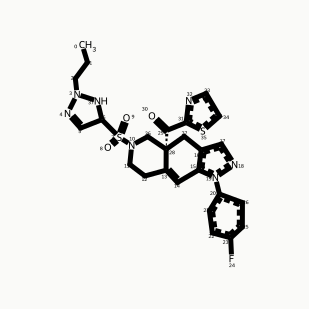 CCCN1N=CC(S(=O)(=O)N2CCC3=Cc4c(cnn4-c4ccc(F)cc4)C[C@]3(C(=O)c3nccs3)C2)N1